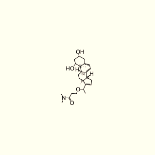 CC(OCCC(=O)N(C)C)C1=CC[C@H]2C3=CC=C4CC(O)CC(O)[C@]4(C)[C@H]3CC[C@]12C